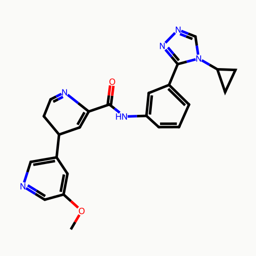 COc1cncc(C2C=C(C(=O)Nc3cccc(-c4nncn4C4CC4)c3)N=CC2)c1